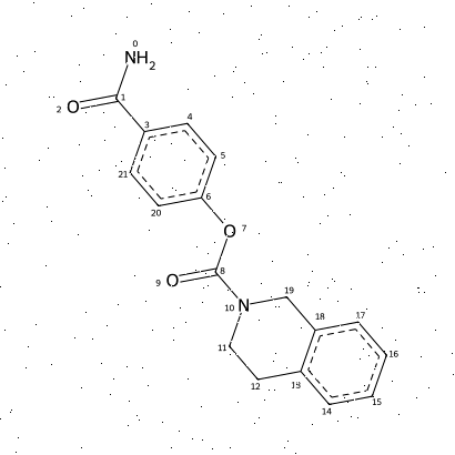 NC(=O)c1ccc(OC(=O)N2CCc3ccccc3C2)cc1